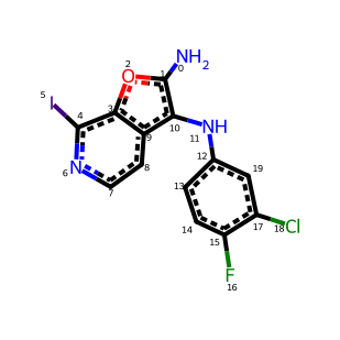 Nc1oc2c(I)nccc2c1Nc1ccc(F)c(Cl)c1